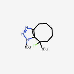 CC(C)(C)n1nnc2c1C(F)(C(C)(C)C)CCCCC2